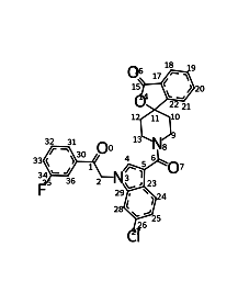 O=C(Cn1cc(C(=O)N2CCC3(CC2)OC(=O)c2ccccc23)c2ccc(Cl)cc21)c1cccc(F)c1